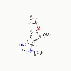 COc1cc(C2(C)CNCCN2C(=O)O)ccc1OC1COC1